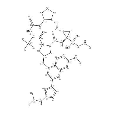 C=C[C@@H]1C[C@]1(NC(=O)[C@@H]1C[C@@H](Oc2cc(-c3csc(NC(C)C)n3)nc3cc(OC)ccc23)CN1C(=O)[C@@H](NC(=O)OC1CCCC1)C(C)(C)C)P(=O)(O)COC